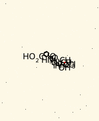 CC(C)C[C@@H](NC(=O)c1cccc(C(=O)O)c1)C(=O)N1CC[C@](O)(c2ccc(Cl)cc2)C(C)(C)C1